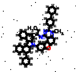 C=C(CC)/N=C(\N=C(/NC)c1ccc(-c2ccccc2)cc1)c1cccc2oc3ccc(-n4c5ccc6ccccc6c5c5c6ccccc6c(-c6ccccc6)cc54)cc3c12